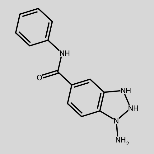 NN1NNc2cc(C(=O)Nc3ccccc3)ccc21